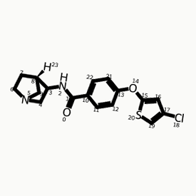 O=C(NC1CN2CC[C@H]1C2)c1ccc(Oc2cc(Cl)cs2)cc1